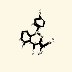 O=C(O)c1nn(-c2ccc(Cl)cc2)c2cccc(F)c2c1=O.[KH]